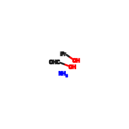 CC(C)O.N.O=CO